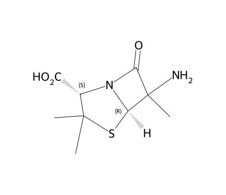 CC1(C)S[C@H]2N(C(=O)C2(C)N)[C@H]1C(=O)O